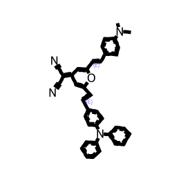 CN(C)c1ccc(/C=C/C2=CC(=C(C#N)C#N)C=C(/C=C/c3ccc(N(c4ccccc4)c4ccccc4)cc3)O2)cc1